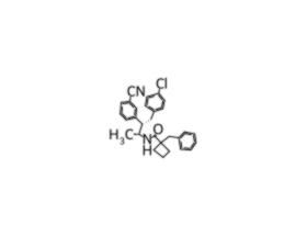 C[C@H](NC(=O)C1(Cc2ccccc2)CCC1)[C@@H](Cc1ccc(Cl)cc1)c1cccc(C#N)c1